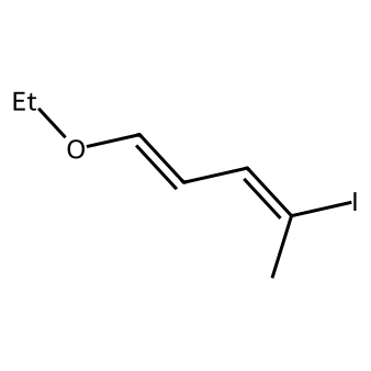 CCOC=C/C=C(\C)I